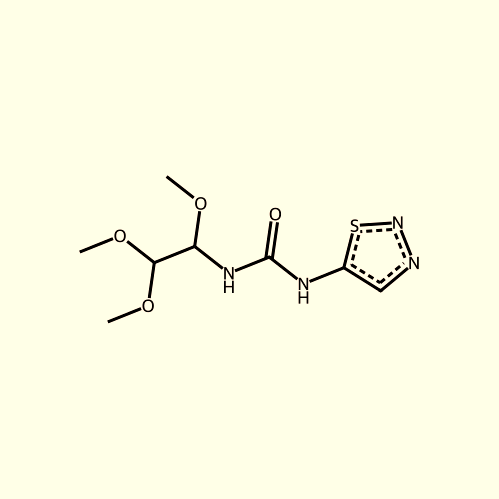 COC(NC(=O)Nc1cnns1)C(OC)OC